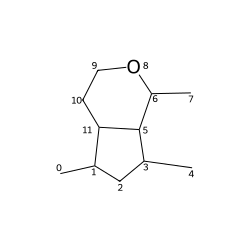 CC1CC(C)C2C(C)OCCC12